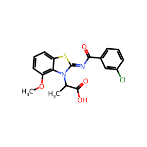 COc1cccc2sc(=NC(=O)c3cccc(Cl)c3)n(C(C)C(=O)O)c12